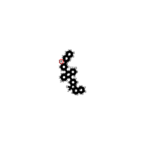 CC1(C)c2cc(-c3c4ccccc4c(-c4ccc5oc6cc7ccccc7cc6c5c4)c4ccccc34)ccc2-c2c1ccc1ccccc21